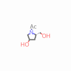 CC(=O)N1CC(O)C[C@H]1CO